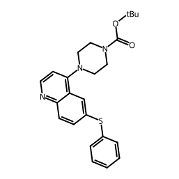 CC(C)(C)OC(=O)N1CCN(c2ccnc3ccc(Sc4ccccc4)cc23)CC1